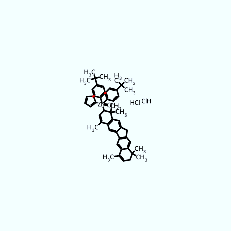 Cl.Cl.[CH2]=[Zr]([C]1=CC=CC1)([c]1ccc(C(C)(C)C)cc1)([c]1ccc(C(C)(C)C)cc1)[CH]1C=C(C)c2cc3c(cc2C1(C)C)Cc1cc2c(cc1-3)C(C)=CCC2(C)C